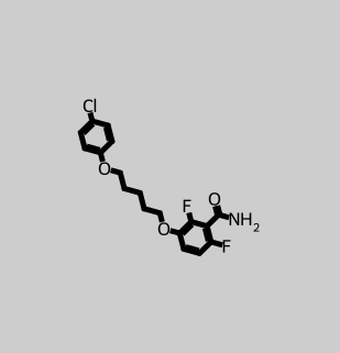 NC(=O)c1c(F)ccc(OCCCCCOc2ccc(Cl)cc2)c1F